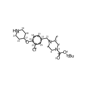 CC1CN(C(=O)OC(C)(C)C)CCN1Cc1ccc(OC2CCNCC2)c(Cl)c1